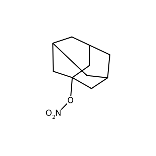 O=[N+]([O-])OC12CC3CC(CC(C3)C1)C2